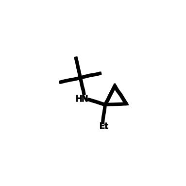 CCC1(NC(C)(C)C)CC1